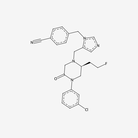 N#Cc1ccc(Cn2cncc2CN2CC(=O)N(c3cccc(Cl)c3)C[C@@H]2CCF)cc1